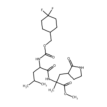 COC(=O)C(C)(CC1CCNC1=O)NC(=O)C(CC(C)C)NC(=O)OCC1CCC(F)(F)CC1